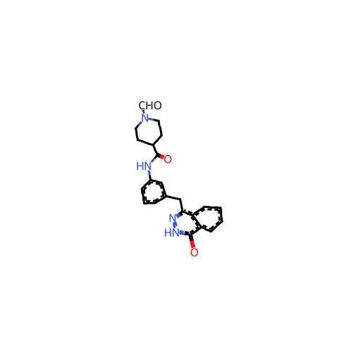 O=CN1CCC(C(=O)Nc2cccc(Cc3n[nH]c(=O)c4ccccc34)c2)CC1